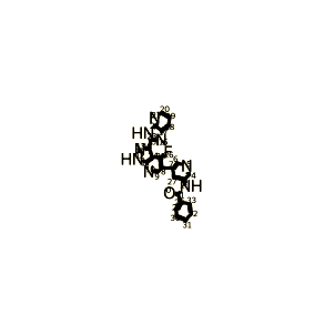 O=C(Nc1cncc(-c2cnc3[nH]nc(-c4nc5cccnc5[nH]4)c3c2F)c1)c1ccccc1